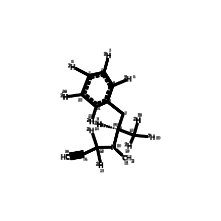 [2H]c1c([2H])c([2H])c(C[C@]([2H])(N(C)C([2H])([2H])C#C)C([2H])([2H])[2H])c([2H])c1[2H]